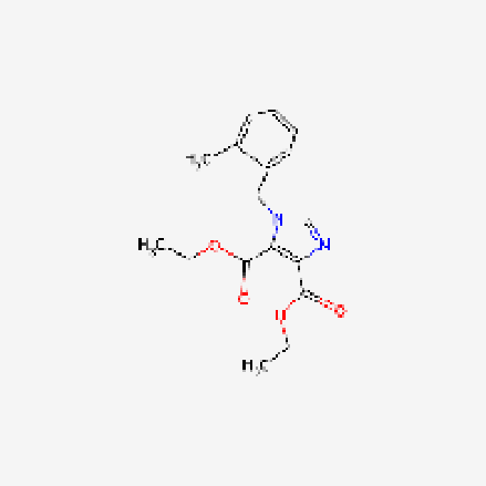 CCOC(=O)c1ncn(Cc2ccccc2C)c1C(=O)OCC